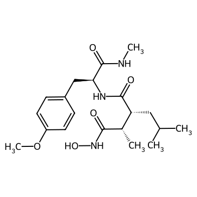 CNC(=O)[C@H](Cc1ccc(OC)cc1)NC(=O)[C@H](CC(C)C)[C@H](C)C(=O)NO